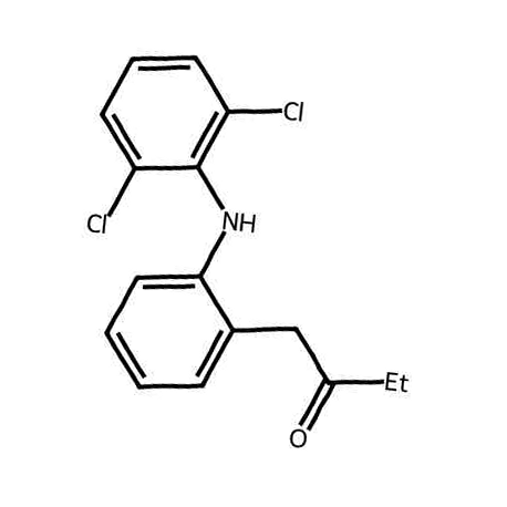 CCC(=O)Cc1ccccc1Nc1c(Cl)cccc1Cl